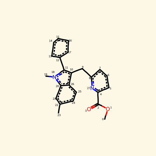 COC(=O)c1cccc(Cc2c(-c3ccccc3)n(C)c3cc(C)ccc23)n1